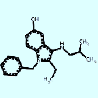 CCc1c(NCC(C)C)c2cc(O)ccc2n1Cc1ccccc1